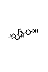 Oc1ccc(-c2nc3ccc4[nH]ncc4c3c3c2CC3)cc1